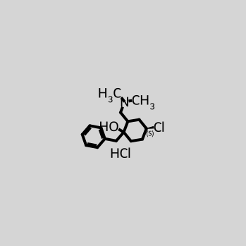 CN(C)CC1C[C@@H](Cl)CCC1(O)Cc1ccccc1.Cl